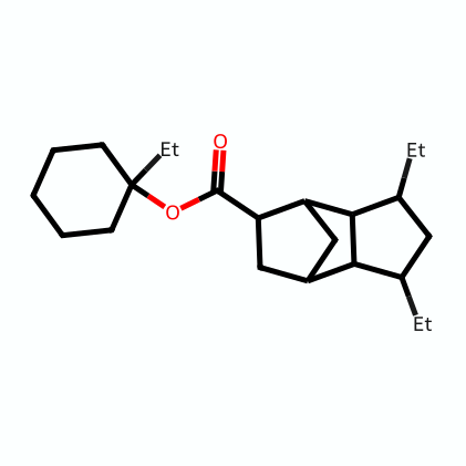 CCC1CC(CC)C2C3CC(CC3C(=O)OC3(CC)CCCCC3)C12